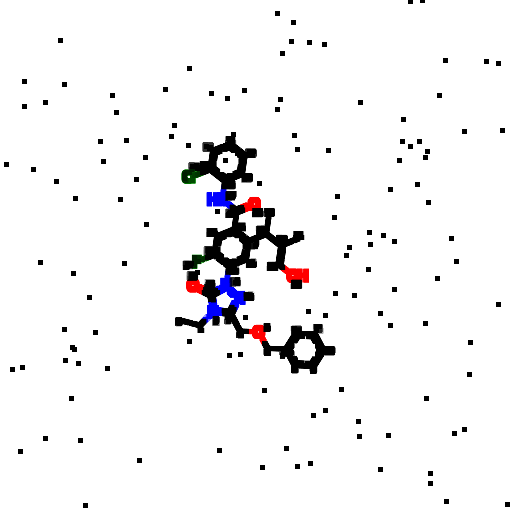 CCn1c(COCc2ccccc2)nn(-c2cc(C(C)C(C)=CO)c(C(=O)Nc3ccccc3Cl)cc2F)c1=O